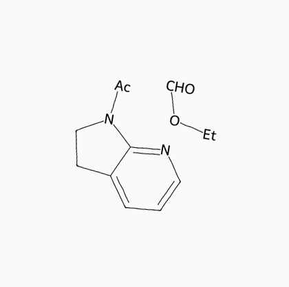 CC(=O)N1CCc2cccnc21.CCOC=O